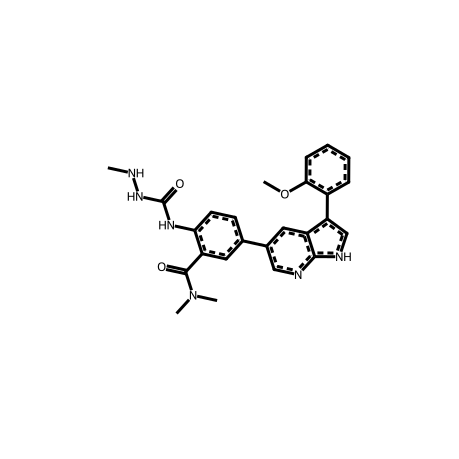 CNNC(=O)Nc1ccc(-c2cnc3[nH]cc(-c4ccccc4OC)c3c2)cc1C(=O)N(C)C